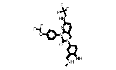 CN/C=C1/C=C(N2Cc3ccc(NCC(F)(F)F)nc3N(c3ccc(OC(F)F)cc3)C2=O)C=CC1=N